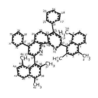 Cc1cc(C)c2cccc(C)c2c1-c1cc(-c2ccccc2)c2ccc3c(-c4ccccc4)cc(-c4c(C)cc(C)c5cccc(C)c45)nc3c2n1